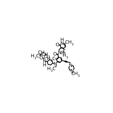 CCN(c1cc(C#CCN2CCN(C)CC2)cc(C(=O)NCc2c(C)cc(C)[nH]c2=O)c1C)C1CCC(NC(=O)OC(C)(C)C)CC1